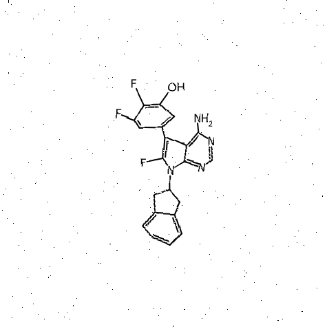 Nc1ncnc2c1c(-c1cc(O)c(F)c(F)c1)c(F)n2C1Cc2ccccc2C1